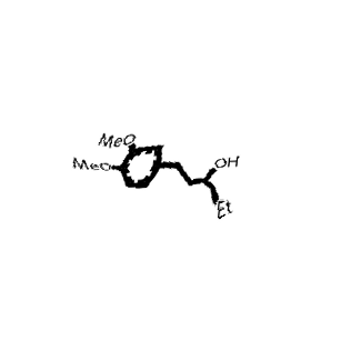 CCC(O)CCc1ccc(OC)c(OC)c1